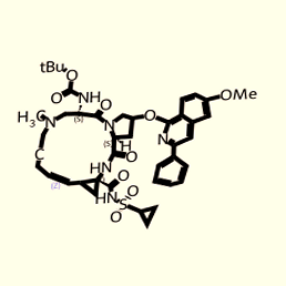 COc1ccc2c(OC3C[C@H]4C(=O)N[C@]5(C(=O)NS(=O)(=O)C6CC6)CC5/C=C\CCCN(C)C[C@H](NC(=O)OC(C)(C)C)C(=O)N4C3)nc(-c3ccccc3)cc2c1